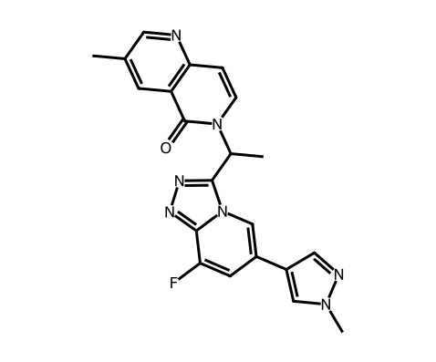 Cc1cnc2ccn(C(C)c3nnc4c(F)cc(-c5cnn(C)c5)cn34)c(=O)c2c1